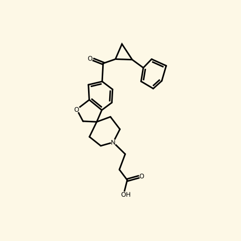 O=C(O)CCN1CCC2(CC1)COc1cc(C(=O)C3CC3c3ccccc3)ccc12